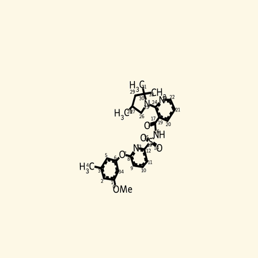 COc1cc(C)cc(Oc2cccc(S(=O)(=O)NC(=O)c3cccnc3N3CC(C)CC3(C)C)n2)c1